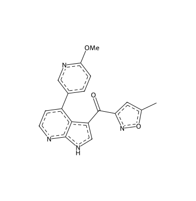 COc1ccc(-c2ccnc3[nH]cc(C(=O)c4cc(C)on4)c23)cn1